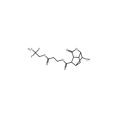 CC(F)(F)COC(=O)CCOC(=O)C1C2CC3C(OC(=O)C31)C2O